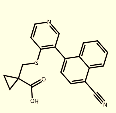 N#Cc1ccc(-c2cnccc2SCC2(C(=O)O)CC2)c2ccccc12